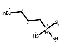 CCCCCCC[PH](S)(S)S